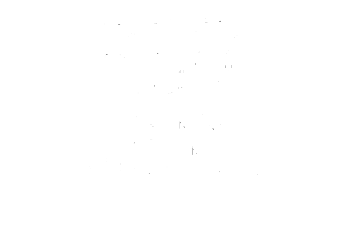 Cc1cccc(-c2ccc(-c3nc(-c4ccccc4)nc(-c4cc5oc6cccc(-c7ccc(-c8ccccc8)cc7)c6c5cc4-c4ccccc4)n3)cc2)c1